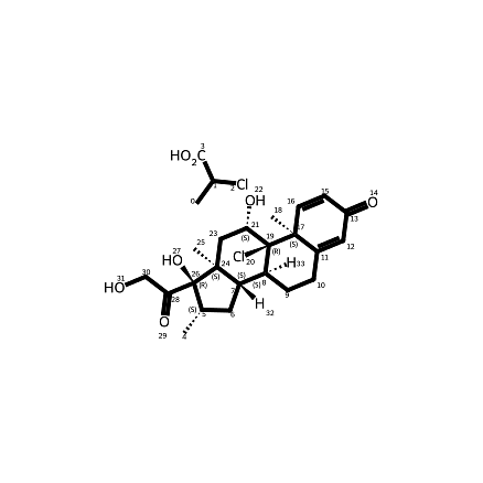 CC(Cl)C(=O)O.C[C@H]1C[C@H]2[C@@H]3CCC4=CC(=O)C=C[C@]4(C)[C@@]3(Cl)[C@@H](O)C[C@]2(C)[C@@]1(O)C(=O)CO